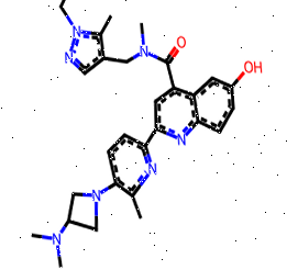 CCn1ncc(CN(C)C(=O)c2cc(-c3ccc(N4CC(N(C)C)C4)c(C)n3)nc3ccc(O)cc23)c1C